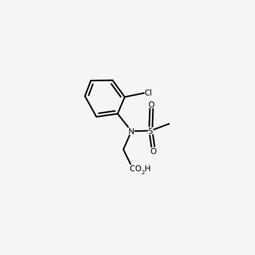 CS(=O)(=O)N(CC(=O)O)c1ccccc1Cl